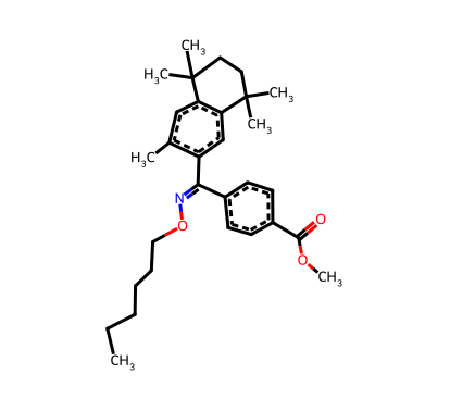 CCCCCCON=C(c1ccc(C(=O)OC)cc1)c1cc2c(cc1C)C(C)(C)CCC2(C)C